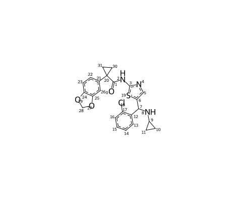 O=C(Nc1ncc(C(NC2CC2)c2ccccc2Cl)s1)C1(c2ccc3c(c2)OCO3)CC1